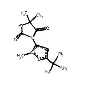 Cn1nc(C(C)(C)C)cc1N1C(=O)NC(C)(C)C1=O